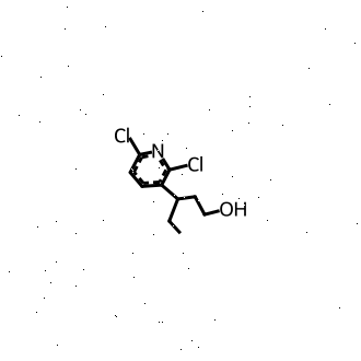 CCC(CCO)c1ccc(Cl)nc1Cl